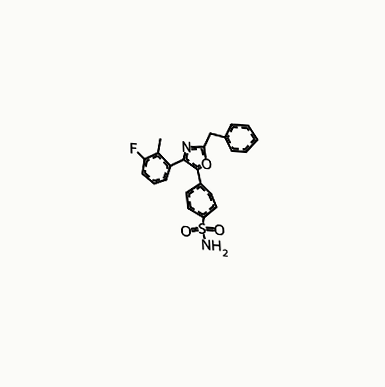 Cc1c(F)cccc1-c1nc(Cc2ccccc2)oc1-c1ccc(S(N)(=O)=O)cc1